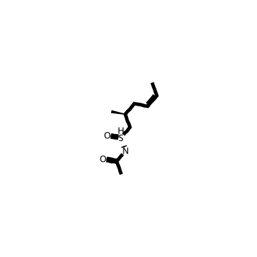 C/C=C\C[C@H](C)C/[SH](=O)=N/C(C)=O